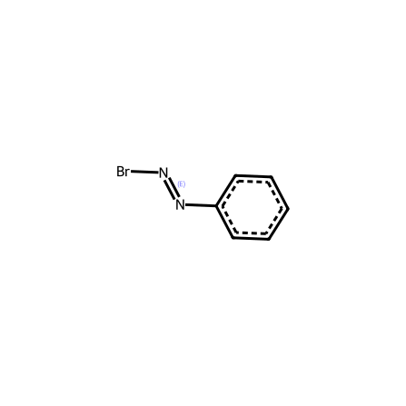 Br/N=N/c1ccccc1